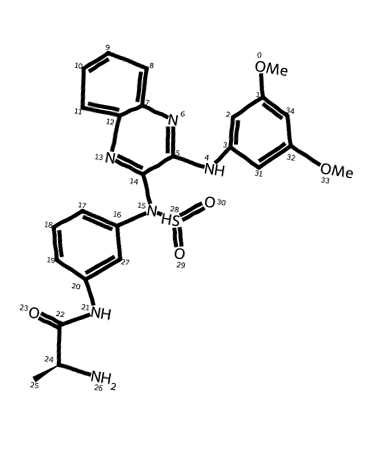 COc1cc(Nc2nc3ccccc3nc2N(c2cccc(NC(=O)[C@H](C)N)c2)[SH](=O)=O)cc(OC)c1